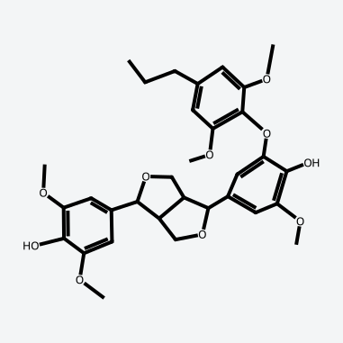 CCCc1cc(OC)c(Oc2cc(C3OCC4C(c5cc(OC)c(O)c(OC)c5)OCC34)cc(OC)c2O)c(OC)c1